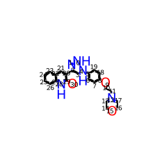 N=N/C(=C\Nc1ccc(OCCN2CCOCC2)cc1)c1cc2ccccc2[nH]c1=O